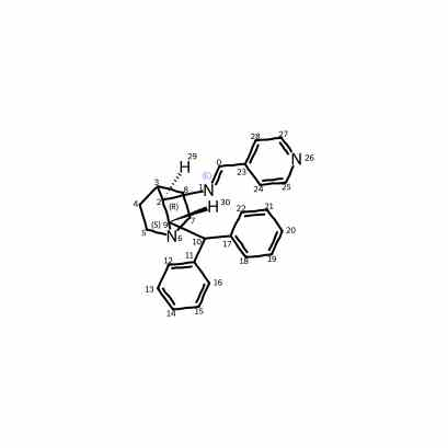 C(=N\[C@@H]1C2CCN(CC2)[C@H]1C(c1ccccc1)c1ccccc1)/c1ccncc1